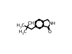 CC(C)(C)Cc1ccc2c(c1)C(=O)NC2